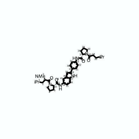 CN[C@H](CC(C)C)C(=O)N1CCC[C@H]1C(=O)Nc1ccc2[nH]c(-c3ccc(NC(=O)[C@@H]4CCCN4C(=O)CCC(C)C)cc3)cc2c1